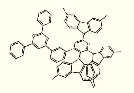 Cc1ccc2c(c1)c1cc(C)ccc1n2-c1cc(-c2cccc(-c3cc(-c4ccccc4)nc(-c4ccccc4)n3)c2)c(-n2c3ccc(C)cc3c3cc(C)ccc32)c(-n2c3ccc(C)cc3c3cc(C)ccc32)n1